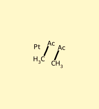 CC(C)=O.CC(C)=O.[Pt]